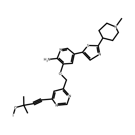 CN1CCC(c2ncc(-c3cnc(N)c(OCc4cc(C#CC(C)(C)OI)ncn4)c3)s2)CC1